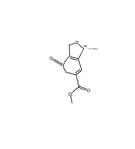 COC(=O)C1=CC2=C(CO[C@@H]2C)[N+](=O)C1